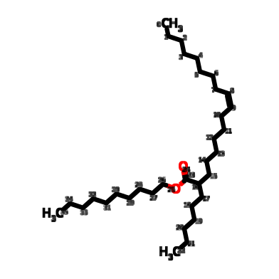 CCCCCCCC/C=C\CCCCCCC(CCCCCC)C(=O)OCCCCCCCCCC